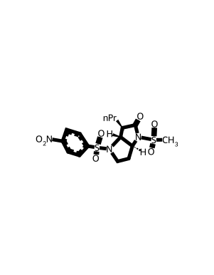 CCC[C@H]1C(=O)N(S(C)(=O)=O)[C@H]2CCN(S(=O)(=O)c3ccc([N+](=O)[O-])cc3)[C@H]12